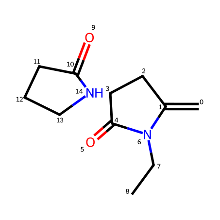 C=C1CCC(=O)N1CC.O=C1CCCN1